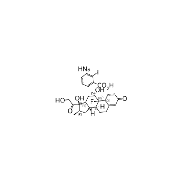 C[C@@H]1C[C@H]2[C@@H]3CCC4=CC(=O)C=C[C@]4(C)[C@@]3(F)[C@@H](O)C[C@]2(C)[C@@]1(O)C(=O)CO.O=C(O)c1ccccc1I.[NaH]